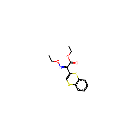 CCON=C(C(=O)OCC)C1=CSc2ccccc2S1